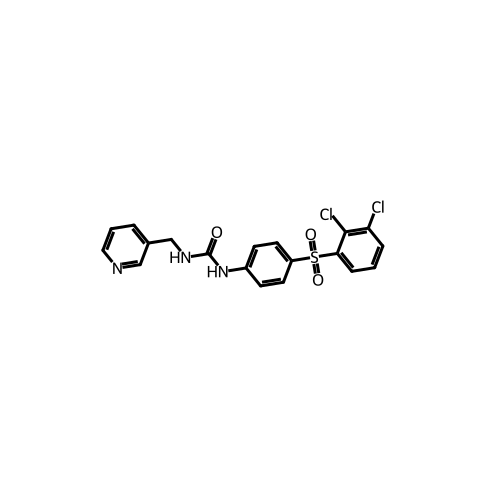 O=C(NCc1cccnc1)Nc1ccc(S(=O)(=O)c2cccc(Cl)c2Cl)cc1